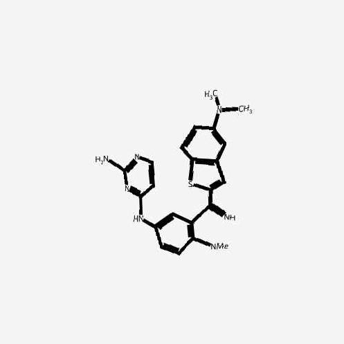 CNc1ccc(Nc2ccnc(N)n2)cc1C(=N)c1cc2cc(N(C)C)ccc2s1